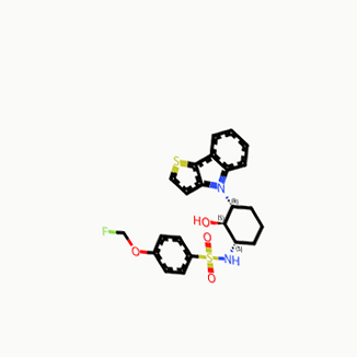 O=S(=O)(N[C@H]1CCC[C@@H](n2c3ccccc3c3sccc32)[C@@H]1O)c1ccc(OCF)cc1